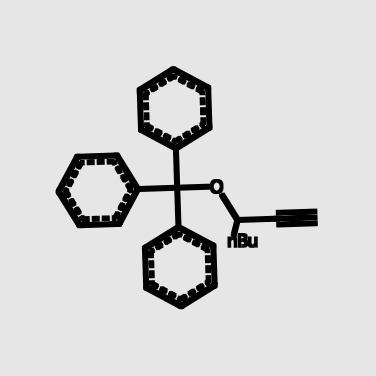 C#CC(CCCC)OC(c1ccccc1)(c1ccccc1)c1ccccc1